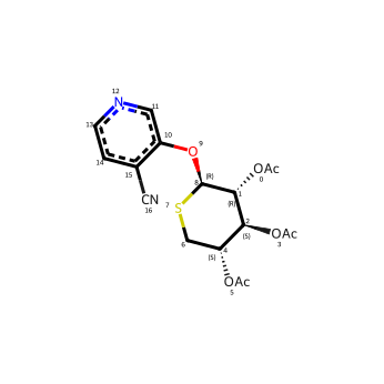 CC(=O)O[C@@H]1[C@@H](OC(C)=O)[C@H](OC(C)=O)CS[C@H]1Oc1cnccc1C#N